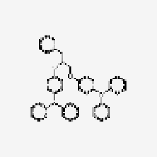 c1ccc(CC(COc2ccc(N(c3ccccc3)c3ccccc3)cc2)Oc2ccc(N(c3ccccc3)c3ccccc3)cc2)cc1